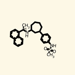 C[C@@H](NC1CCCCC(c2ccc(NS(C)(=O)=O)cc2)C1)c1cccc2ccccc12